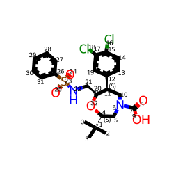 CC(C)(C)[C@H]1CN(C(=O)O)C[C@H](c2ccc(Cl)c(Cl)c2)[C@H](CNS(=O)(=O)c2ccccc2)O1